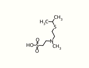 CC(C)SCCN(C)CCS(=O)(=O)O